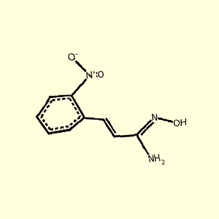 NC(C=Cc1ccccc1[N+](=O)[O-])=NO